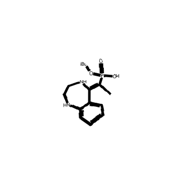 CCC(C)OP(=O)(O)C(C)=C1NCCNc2ccccc21